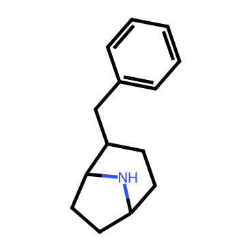 c1ccc(CC2CCC3CCC2N3)cc1